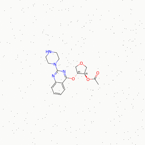 CC(=O)O[C@@H]1COC[C@H]1Oc1nc(N2CCNCC2)nc2ccccc12